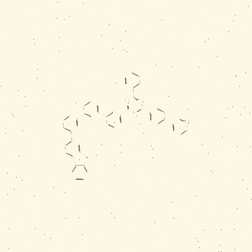 CC1(C)c2ccccc2-c2ccc(-c3cccc(-c4cccc(-c5cccc(-c6nc(-c7ccccc7)nc(-c7ccc(-c8cccnc8)cc7)n6)c5)c4)c3)cc21